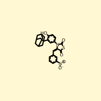 O=C1SC(=O)N(c2ccc(O)c(C34CC5CC(CC(C5)C3)C4)c2)C1=Cc1cccc([N+](=O)[O-])c1